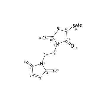 C=C1C=CC(=O)N1CCN1C(=O)CC(SC)C1=O